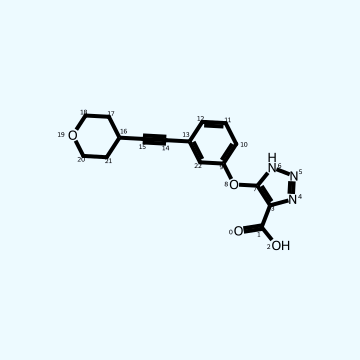 O=C(O)c1nn[nH]c1Oc1cccc(C#CC2CCOCC2)c1